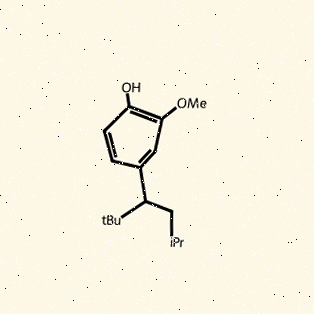 COc1cc(C(CC(C)C)C(C)(C)C)ccc1O